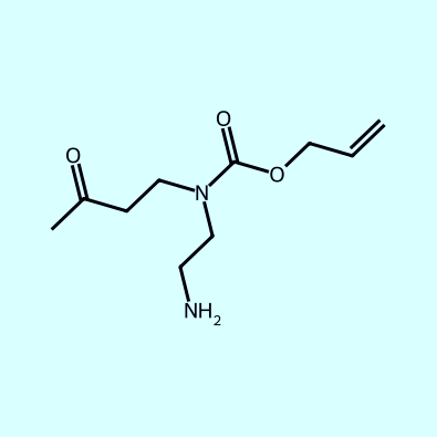 C=CCOC(=O)N(CCN)CCC(C)=O